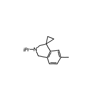 Cc1ccc2c(c1)C1(CC1)CN(C(C)C)C2